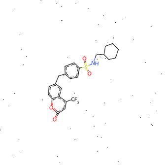 O=c1cc(C(F)(F)F)c2cc(Cc3ccc(S(=O)(=O)NCC4CCCCC4)cc3)ccc2o1